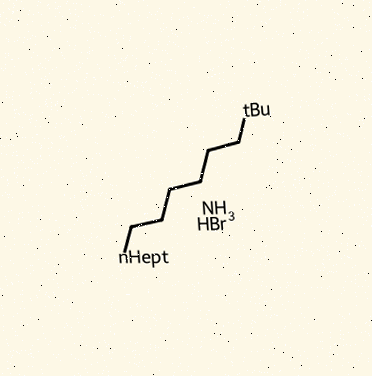 Br.CCCCCCCCCCCCCC(C)(C)C.N